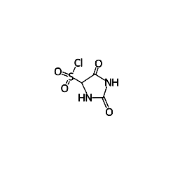 O=C1NC(=O)C(S(=O)(=O)Cl)N1